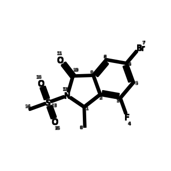 CC1c2c(F)cc(Br)cc2C(=O)N1S(C)(=O)=O